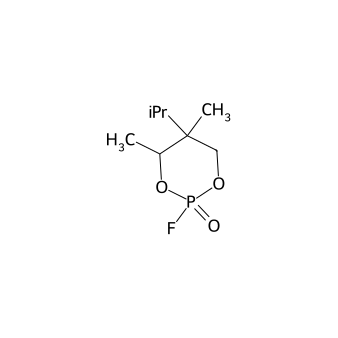 CC(C)C1(C)COP(=O)(F)OC1C